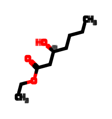 CCCC[C@H](O)CC(=O)OCC